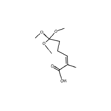 COC(CCC=C(C)C(=O)O)(OC)OC